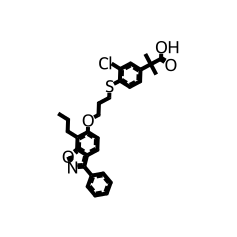 CCCc1c(OCCCSc2ccc(C(C)(C)C(=O)O)cc2Cl)ccc2c(-c3ccccc3)noc12